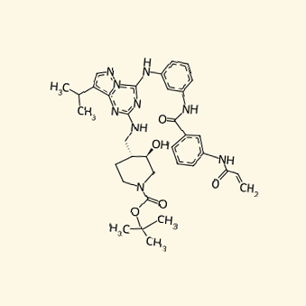 C=CC(=O)Nc1cccc(C(=O)Nc2cccc(Nc3nc(NC[C@H]4CCN(C(=O)OC(C)(C)C)C[C@@H]4O)nc4c(C(C)C)cnn34)c2)c1